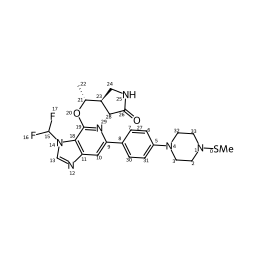 CSN1CCN(c2ccc(-c3cc4ncn(C(F)F)c4c(O[C@H](C)[C@H]4CNC(=O)C4)n3)cc2)CC1